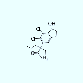 CCCC(CC)(C(N)=O)c1cc2c(c(Cl)c1Cl)C(O)CC2